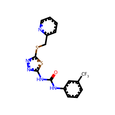 O=C(Nc1cccc(C(F)(F)F)c1)Nc1nnc(SCc2ccccn2)s1